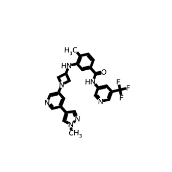 Cc1ccc(C(=O)Nc2cncc(C(F)(F)F)c2)cc1NC1CN(c2cncc(-c3cnn(C)c3)c2)C1